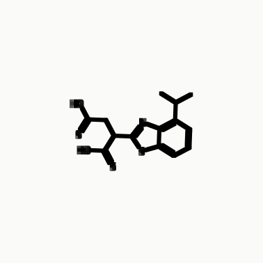 CC(C)c1cccc2sc(C(CC(O)=S)C(O)=S)nc12